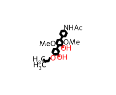 COc1cc(-c2ccc(NC(C)=O)cc2)c(OC)c(O)c1-c1ccc(OCC=C(C)C)c(O)c1